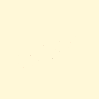 C=C/C(=C\C)N(c1ccccc1)c1ccc2c(c1)Oc1cc3c(cc1O2)-c1ccccc1C3